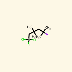 CC(C)(I)CC(C)(C)C[Si](Cl)(Cl)Cl